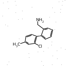 Cc1ccc(-c2ccccc2CN)c(Cl)c1